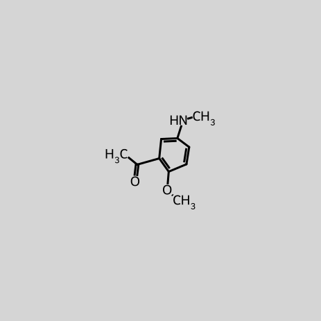 CNc1ccc(OC)c(C(C)=O)c1